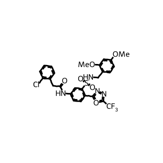 COc1ccc(CNS(=O)(=O)c2cc(NC(=O)Cc3ccccc3Cl)ccc2-c2nnc(C(F)(F)F)o2)c(OC)c1